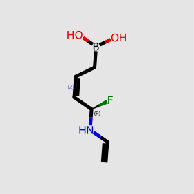 C=CN[C@H](F)/C=C\CB(O)O